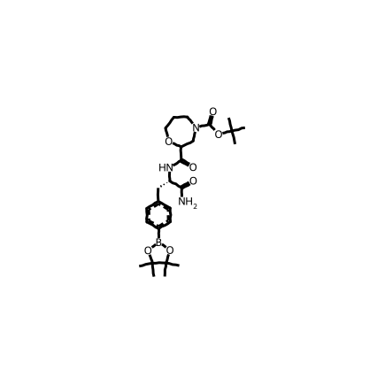 CC(C)(C)OC(=O)N1CCCOC(C(=O)N[C@@H](Cc2ccc(B3OC(C)(C)C(C)(C)O3)cc2)C(N)=O)C1